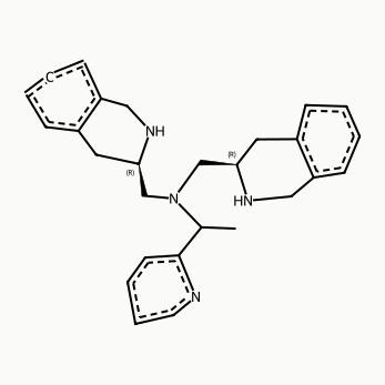 CC(c1ccccn1)N(C[C@H]1Cc2ccccc2CN1)C[C@H]1Cc2ccccc2CN1